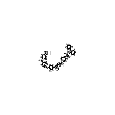 O=C(Nc1ccccc1-c1ccccc1)OC1CCN(CCNCC(=O)c2ccc(CN3CCC(C(=O)N4CCC(O)CC4)CC3)cc2)CC1